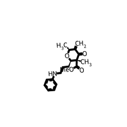 C=C1C(=O)[C@](C)(C(=O)OC)[C@@H](CCCNc2ccccc2)O[C@H]1C